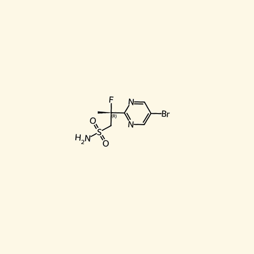 C[C@](F)(CS(N)(=O)=O)c1ncc(Br)cn1